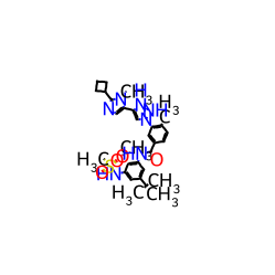 COc1c(NC(=O)c2ccc(C)c(N3C=C(c4cnc(C5CCC5)n4C)NN3)c2)cc(C(C)(C)C)cc1NS(C)(=O)=O